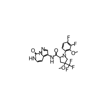 COc1c(N2CC(OC)(C(F)(F)F)CC2C(=O)Nc2cnn3c(=O)[nH]ccc23)ccc(F)c1F